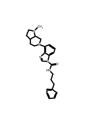 CN1CCC2CCN(c3cccc4c3ncn4C(=O)NCCCc3ccccc3)CC21